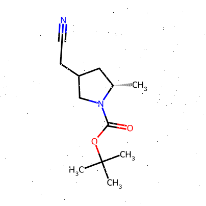 C[C@H]1CC(CC#N)CN1C(=O)OC(C)(C)C